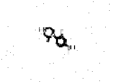 CC1CNCCN1c1ccc(NI)cc1F